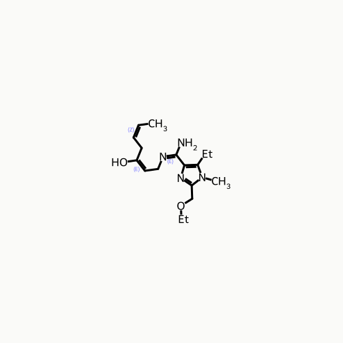 C/C=C\C/C(O)=C\C/N=C(/N)c1nc(COCC)n(C)c1CC